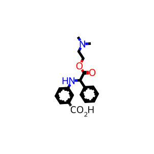 CN(C)CCOC(=O)C(Nc1cccc(C(=O)O)c1)c1ccccc1